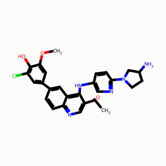 COc1cc(-c2ccc3ncc(C(C)=O)c(Nc4ccc(N5CCC(N)C5)nc4)c3c2)cc(Cl)c1O